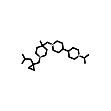 CC(C)CC1(CN2CCC(C)(CN3CCC(C4CCN(C(C)C)CC4)CC3)CC2)CC1